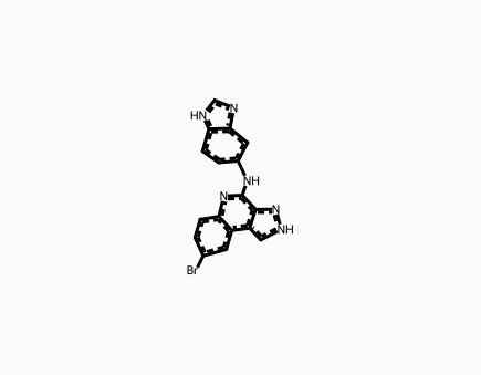 Brc1ccc2nc(Nc3ccc4[nH]cnc4c3)c3n[nH]cc3c2c1